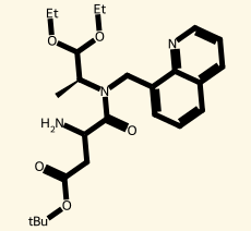 CCOC(OCC)[C@H](C)N(Cc1cccc2cccnc12)C(=O)C(N)CC(=O)OC(C)(C)C